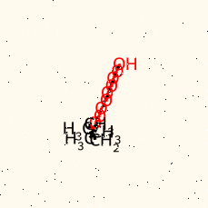 C=C/C(C)=C\C(C)=C(\COCCOCCOCCOCCOCCOCCOCCOCCO)C(C)C